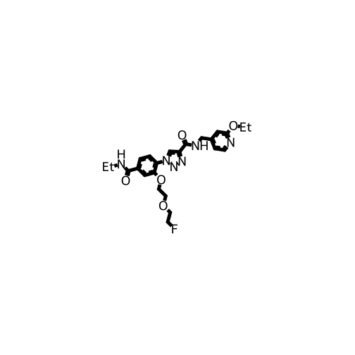 CCNC(=O)c1ccc(-n2cc(C(=O)NCc3ccnc(OCC)c3)nn2)c(OCCOCCF)c1